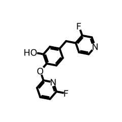 Oc1cc(Cc2ccncc2F)ccc1Oc1cccc(F)n1